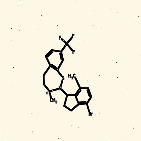 Cc1ccc(Br)c2c1C(N1Sc3cc(C(F)(F)F)ccc3CC[C@@H]1C)CC2